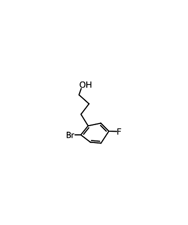 OCCCc1cc(F)ccc1Br